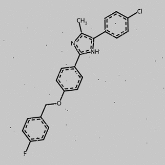 Cc1nc(-c2ccc(OCc3ccc(F)cc3)cc2)[nH]c1-c1ccc(Cl)cc1